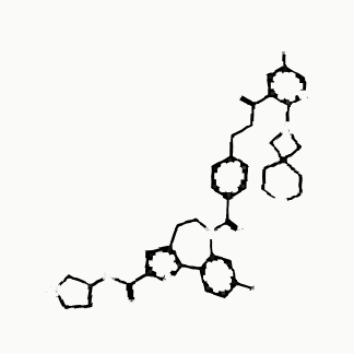 Cc1cnc(N2CC3(CCOCC3)C2)c(C(=O)CCc2ccc(C(=O)N3CCc4cc(C(=O)NC5CCNC5)sc4-c4ccc(F)cc43)cc2)c1